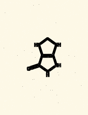 O=c1[nH][nH]c2c1NCN2